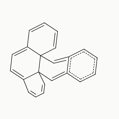 C1=CC2=CC=C3C=CC=CC34C=c3ccccc3=CC24C=C1